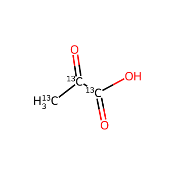 [13CH3][13C](=O)[13C](=O)O